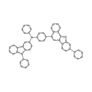 c1ccc(-c2ccc3c(c2)oc2c4ccccc4c(-c4ccc(N(c5ccccc5)c5ccc6c(c5)c5ccccc5n6-c5ccccc5)cc4)cc32)cc1